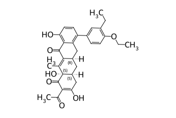 CCOc1ccc(-c2ccc(O)c3c2C[C@H]2C[C@H]4CC(O)=C(C(C)=O)C(=O)[C@@]4(O)C(C)=C2C3=O)cc1CC